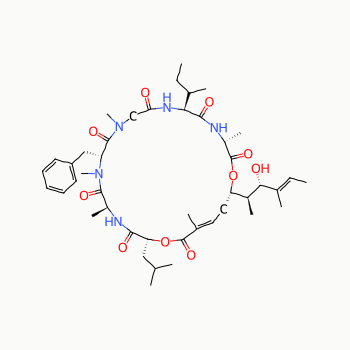 C/C=C(\C)[C@@H](O)[C@@H](C)[C@@H]1C/C=C(\C)C(=O)O[C@H](CC(C)C)C(=O)N[C@@H](C)C(=O)N(C)[C@H](Cc2ccccc2)C(=O)N(C)CC(=O)N[C@@H](C(C)CC)C(=O)N[C@H](C)C(=O)O1